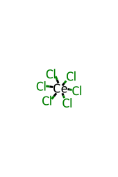 [Cl][Ce]([Cl])([Cl])([Cl])([Cl])[Cl]